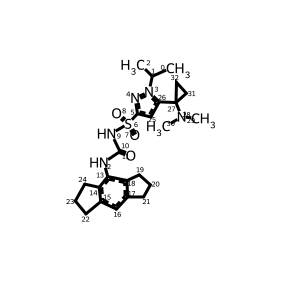 CC(C)n1nc(S(=O)(=O)NC(=O)Nc2c3c(cc4c2CCC4)CCC3)cc1C1(N(C)C)CC1